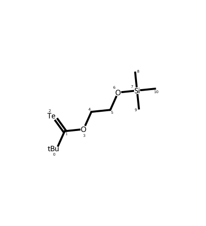 CC(C)(C)C(=[Te])OCCO[Si](C)(C)C